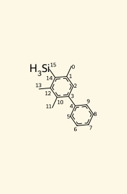 Cc1cc(-c2ccccc2)c(C)c(C)c1[SiH3]